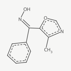 Cc1ncoc1C(=NO)c1ccccc1